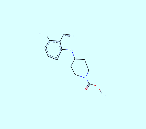 C=Cc1c(NC2CCN(C(=O)OC(C)(C)C)CC2)cccc1OC